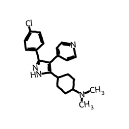 CN(C)C1CCC(c2[nH]nc(-c3ccc(Cl)cc3)c2-c2ccncc2)CC1